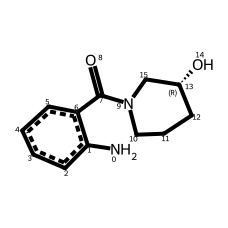 Nc1ccccc1C(=O)N1CCC[C@@H](O)C1